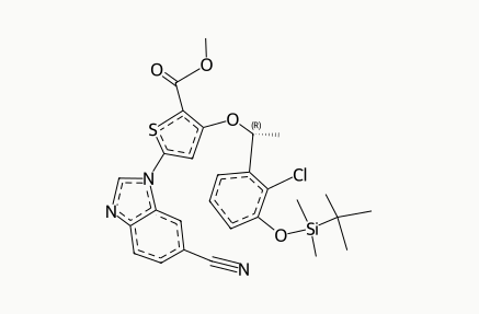 COC(=O)c1sc(-n2cnc3ccc(C#N)cc32)cc1O[C@H](C)c1cccc(O[Si](C)(C)C(C)(C)C)c1Cl